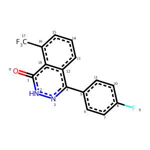 O=c1[nH]nc(-c2ccc(F)cc2)c2cccc(C(F)(F)F)c12